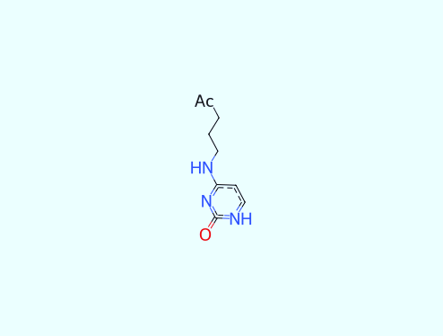 CC(=O)CCCNc1cc[nH]c(=O)n1